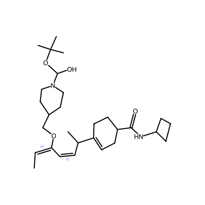 C/C=C(\C=C/C(C)C1=CCC(C(=O)NC2CCC2)CC1)OCC1CCN(C(O)OC(C)(C)C)CC1